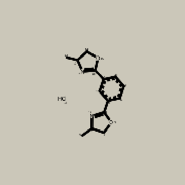 CC1COC(c2cccc(C3=NC(C)CO3)c2)=N1.Cl